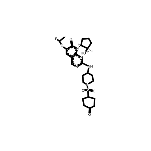 C[C@@]1(O)CCC[C@H]1n1c(=O)c(OC(F)F)cc2cnc(NC3CCN(S(=O)(=O)C4CCC(=O)CC4)CC3)nc21